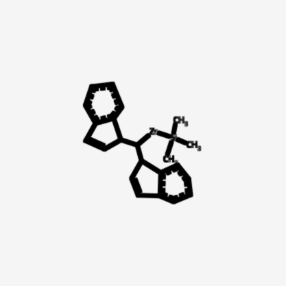 C[Si](C)(C)[Zr][CH](C1C=Cc2ccccc21)C1C=Cc2ccccc21